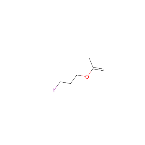 C=C(C)OCCCI